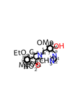 CCOC(=O)C1=CN(C=Cc2cc(Cn3ccnc3)c(O)c(OC)c2)C(C)=C(C(=O)OC)C1c1cccc([N+](=O)[O-])c1